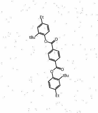 CCc1ccc(OC(=O)c2ccc(C(=O)Oc3ccc(CC)cc3C(C)(C)C)cc2)c(C(C)(C)C)c1